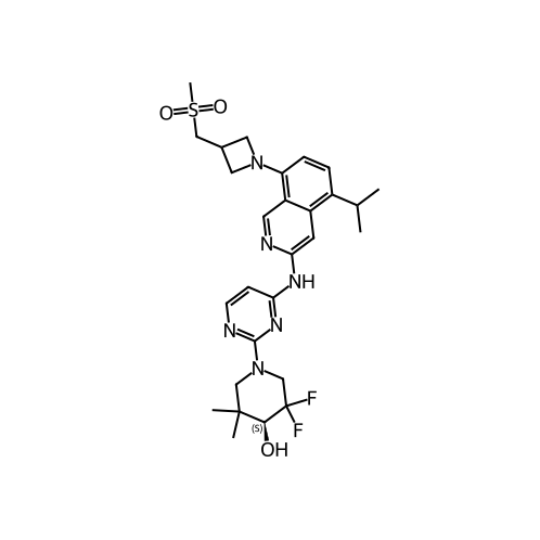 CC(C)c1ccc(N2CC(CS(C)(=O)=O)C2)c2cnc(Nc3ccnc(N4CC(C)(C)[C@H](O)C(F)(F)C4)n3)cc12